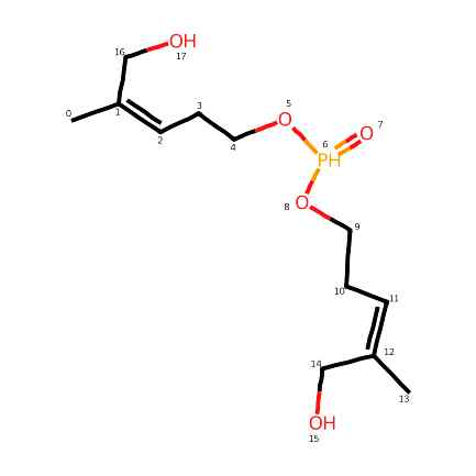 CC(=CCCO[PH](=O)OCCC=C(C)CO)CO